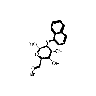 O[C@H]1[C@H](O)[C@@H](COBr)O[C@H](O)[C@H]1Oc1cccc2ccccc12